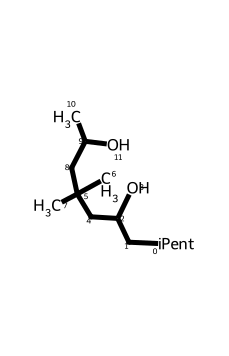 CCCC(C)CC(O)CC(C)(C)CC(C)O